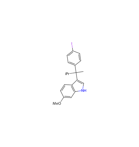 COc1ccc2c(C(C)(c3ccc(I)cc3)C(C)C)c[nH]c2c1